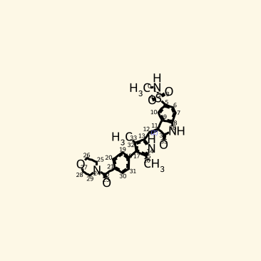 CNS(=O)(=O)c1ccc2c(c1)/C(=C/c1[nH]c(C)c(-c3ccc(C(=O)N4CCOCC4)cc3)c1C)C(=O)N2